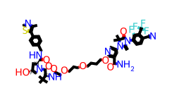 C=C1N(c2ccc(C#N)c(C(F)(F)F)c2F)C(=O)C(C)(C)N1c1cnc(OCCCCOCCCOCC(=O)N[C@H](C(=O)N2C[C@H](O)C[C@H]2C(=O)NCc2ccc(-c3scnc3C)cc2)C(C)(C)C)c(C(N)=O)c1